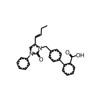 CCC=Cc1cn(-c2ccccc2)c(=O)n1Cc1ccc(-c2ccccc2C(=O)O)cc1